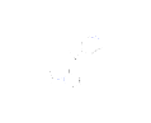 CC(C)N1CC=CC1CC(C)(C)c1ccncc1